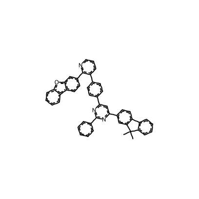 CC1(C)c2ccccc2-c2ccc(-c3cc(-c4ccc(-c5cccnc5-c5ccc6c(c5)oc5ccccc56)cc4)nc(-c4ccccc4)n3)cc21